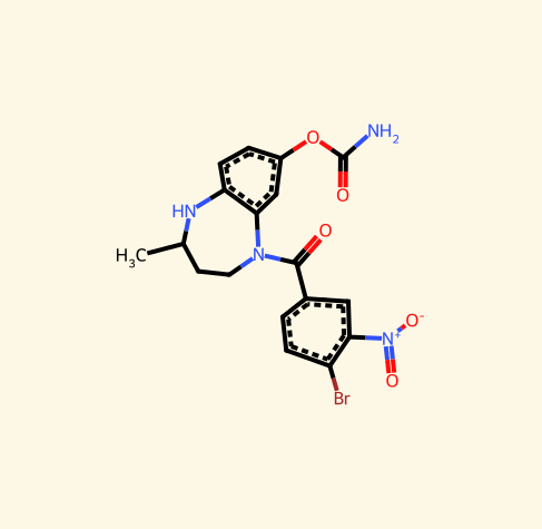 CC1CCN(C(=O)c2ccc(Br)c([N+](=O)[O-])c2)c2cc(OC(N)=O)ccc2N1